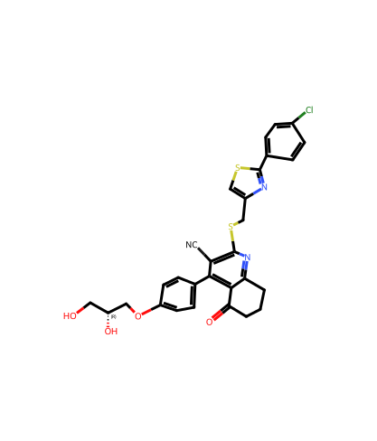 N#Cc1c(SCc2csc(-c3ccc(Cl)cc3)n2)nc2c(c1-c1ccc(OC[C@H](O)CO)cc1)C(=O)CCC2